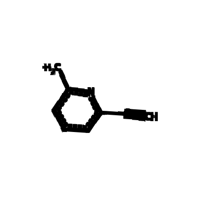 C#Cc1cccc([CH2])n1